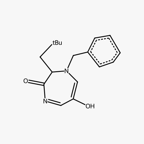 CC(C)(C)CC1C(=O)N=CC(O)=CN1Cc1ccccc1